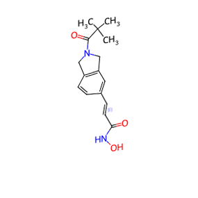 CC(C)(C)C(=O)N1Cc2ccc(/C=C/C(=O)NO)cc2C1